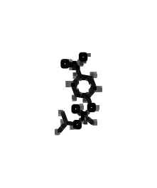 CC(C)OP(C)(=O)Oc1ccc([N+](=O)[O-])cc1